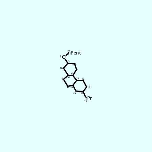 CCCCCOC1CCC2C(CCC3CC(CCC)CCC32)C1